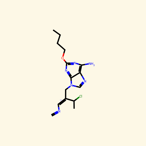 C=N/C=C(/Cn1cnc2c(N)nc(OCCCC)nc21)C(C)Cl